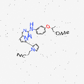 COCC(C)Oc1cccc(Nc2ncc3ccc(-c4cccn4CCC#N)n3n2)c1